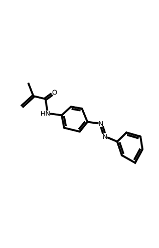 C=C(C)C(=O)Nc1ccc(/N=N/c2ccccc2)cc1